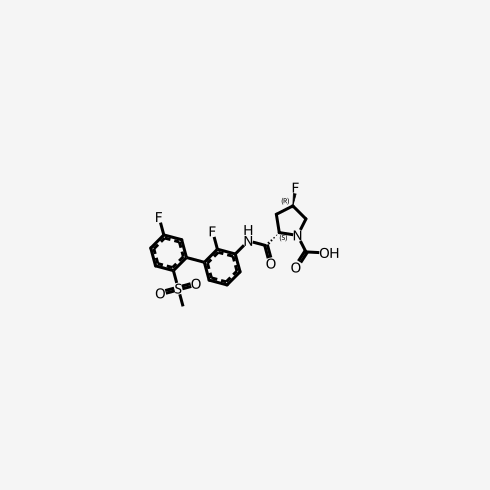 CS(=O)(=O)c1ccc(F)cc1-c1cccc(NC(=O)[C@@H]2C[C@@H](F)CN2C(=O)O)c1F